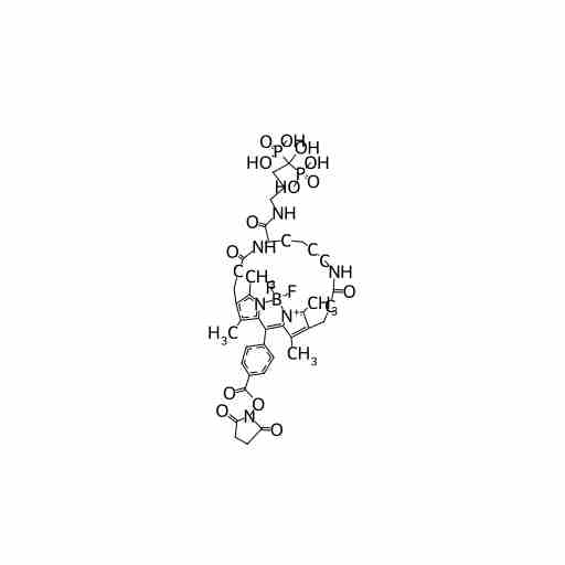 CC1=C2CCC(=O)NCCCCC(C(=O)NCCCC(O)(P(=O)(O)O)P(=O)(O)O)NC(=O)CCc3c(C)c4n(c3C)[B-](F)(F)[N+](=C2C)C1=C4c1ccc(C(=O)ON2C(=O)CCC2=O)cc1